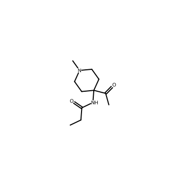 CCC(=O)NC1(C(C)=O)CCN(C)CC1